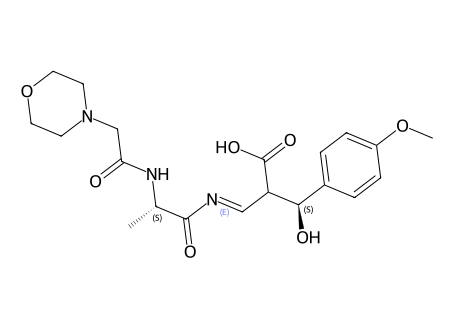 COc1ccc([C@@H](O)C(/C=N/C(=O)[C@H](C)NC(=O)CN2CCOCC2)C(=O)O)cc1